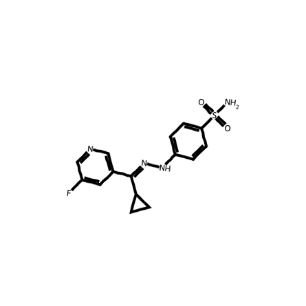 NS(=O)(=O)c1ccc(N/N=C(/c2cncc(F)c2)C2CC2)cc1